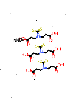 O=C(O)CCN(CCC(=O)O)C(=S)[S-].O=C(O)CCN(CCC(=O)O)C(=S)[S-].O=C(O)CCN(CCC(=O)O)C(=S)[S-].[Na+].[Na+].[Na+]